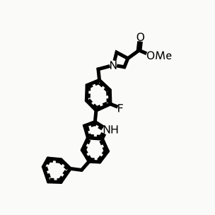 COC(=O)C1CN(Cc2ccc(-c3cc4cc(Cc5ccccc5)ccc4[nH]3)c(F)c2)C1